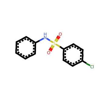 O=S(=O)(Nc1ccccc1)c1ccc(Cl)cc1